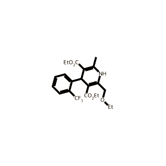 CCOCC1=C(C(=O)OCC)C(c2ccccc2C(F)(F)F)C(C(=O)OCC)=C(C)N1